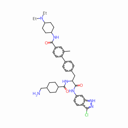 CCN(CC)C1CCC(NC(=O)c2ccc(-c3ccc(CC(NC(=O)C4CCC(CN)CC4)C(=O)Nc4ccc5c(Cl)n[nH]c5c4)cc3)c(C)c2)CC1